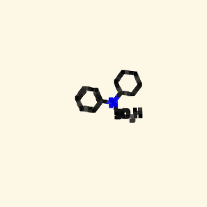 O=S(=O)(O)N(c1ccccc1)C1CCCCC1